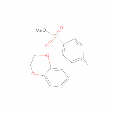 COS(=O)(=O)c1ccc(C)cc1.c1ccc2c(c1)OCCO2